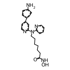 Nc1ccc(-c2ccnc(N(CCCCCCC(=O)NO)c3ccccn3)c2)cc1